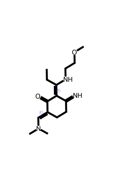 CC/C(NCCOC)=C1/C(=N)CC/C(=C\N(C)C)C1=O